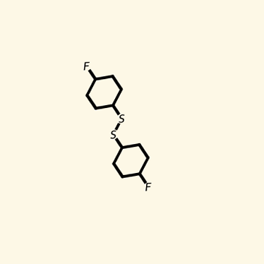 FC1CCC(SSC2CCC(F)CC2)CC1